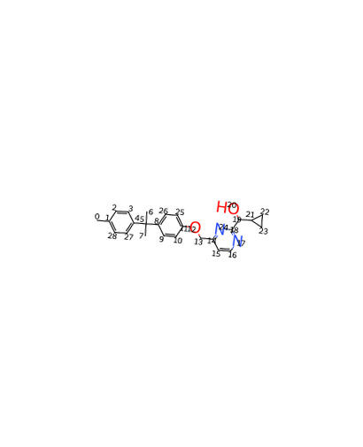 Cc1ccc(C(C)(C)c2ccc(OCc3ccnc(C(O)C4CC4)n3)cc2)cc1